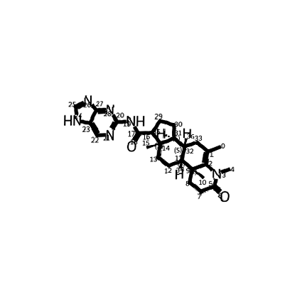 CC1=C2N(C)C(=O)CC[C@]2(C)[C@@H]2CC[C@]3(C)C(C(=O)Nc4ncc5[nH]cnc5n4)CC[C@H]3[C@@H]2C1